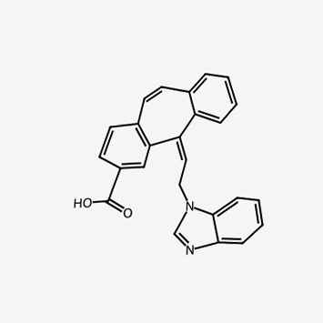 O=C(O)c1ccc2c(c1)C(=CCn1cnc3ccccc31)c1ccccc1C=C2